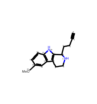 C#CCCC1NCCc2c1[nH]c1ccc(OC)cc21